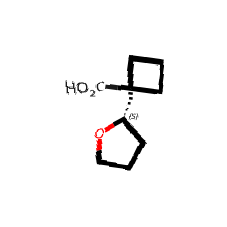 O=C(O)C1([C@@H]2CCCO2)CCC1